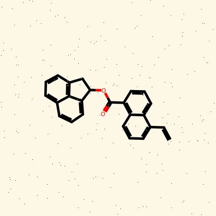 C=Cc1cccc2c(C(=O)OC3Cc4cccc5cccc3c45)cccc12